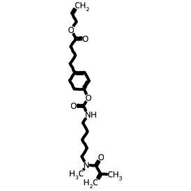 C=CCOC(=O)CCCC1=CC=C(OC(=O)NCCCCCN(C)C(=O)C(=C)C)CC1